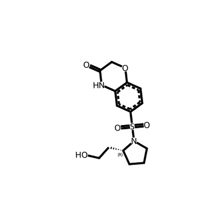 O=C1COc2ccc(S(=O)(=O)N3CCC[C@@H]3CCO)cc2N1